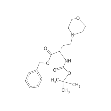 CC(C)(C)OC(=O)N[C@@H](CCN1CCOCC1)C(=O)OCc1ccccc1